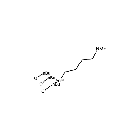 CCCC[O-].CCCC[O-].CCCC[O-].CNCCC[CH2][Sn+3]